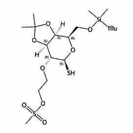 CC1(C)O[C@@H]2[C@@H](OCCOS(C)(=O)=O)[C@H](S)O[C@H](CO[Si](C)(C)C(C)(C)C)[C@@H]2O1